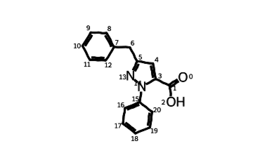 O=C(O)c1cc(Cc2ccccc2)nn1-c1ccccc1